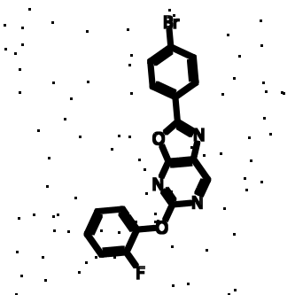 Fc1ccccc1Oc1ncc2nc(-c3ccc(Br)cc3)oc2n1